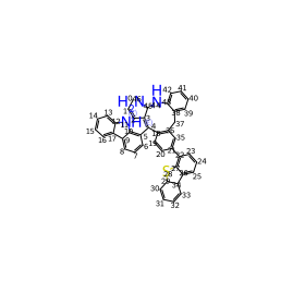 C/C=C\C1=C(/c2cccc3c2[nH]c2ccccc23)c2ccc(-c3cccc4c3SC3C=CC=CC43)cc2Cc2ccccc2NC1N